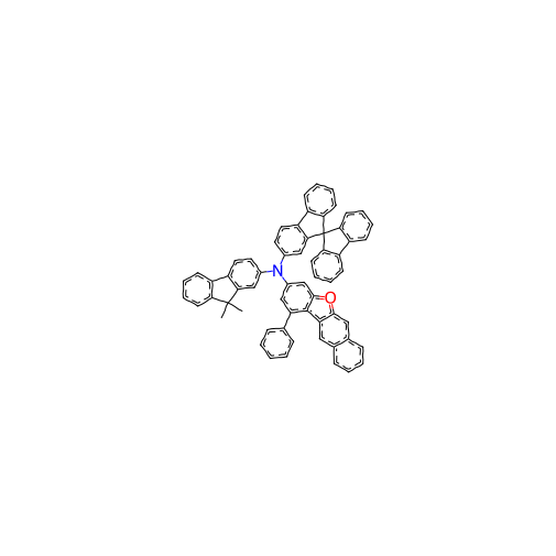 CC1(C)c2ccccc2-c2ccc(N(c3ccc4c(c3)C3(c5ccccc5-c5ccccc53)c3ccccc3-4)c3cc(-c4ccccc4)c4c(c3)oc3cc5ccccc5cc34)cc21